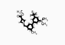 COC(=O)C1CN(Cc2cc(C)cc(-c3cc(N(C)C)cc(C(F)(F)F)c3)c2)C1